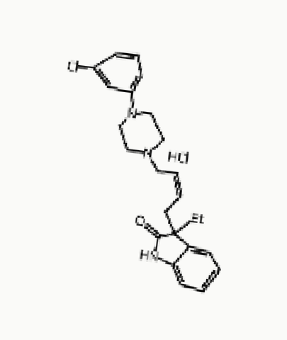 CCC1(C/C=C\CN2CCN(c3cccc(Cl)c3)CC2)C(=O)Nc2ccccc21.Cl